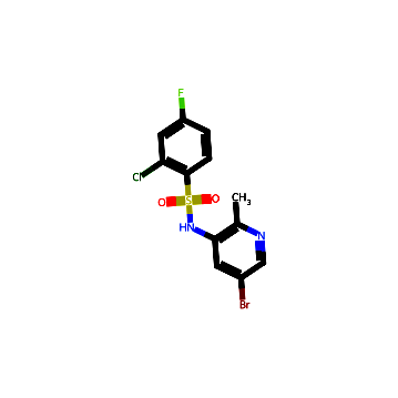 Cc1ncc(Br)cc1NS(=O)(=O)c1ccc(F)cc1Cl